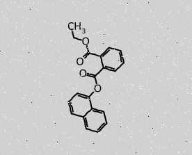 CCOC(=O)c1ccccc1C(=O)Oc1cccc2ccccc12